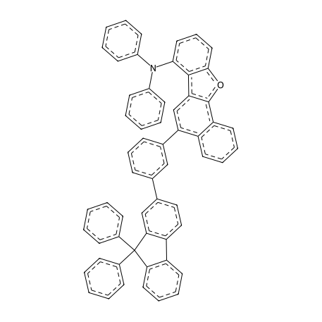 c1ccc(N(c2ccccc2)c2cccc3oc4c5ccccc5c(-c5cccc(-c6ccc7c(c6)C(c6ccccc6)(c6ccccc6)c6ccccc6-7)c5)cc4c23)cc1